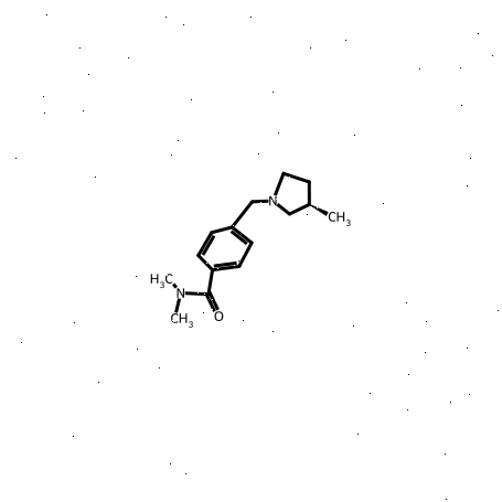 C[C@@H]1CCN(Cc2ccc(C(=O)N(C)C)cc2)C1